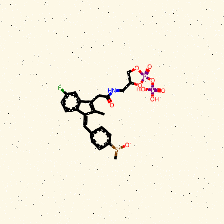 CC1=C(CC(=O)NCC2COP(=O)(OP(=O)(O)O)O2)c2cc(F)ccc2C1=Cc1ccc([S+](C)[O-])cc1